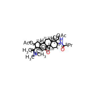 CC(=O)OC[C@]1(C)[C@@H](NC(=O)C(C)C)CCC23C[C@]24C(=O)C[C@]2(C)[C@@H]([C@H](C)N(C)C)[C@H](OC(C)=O)C[C@@]2(C)[C@@H]4CC[C@H]31